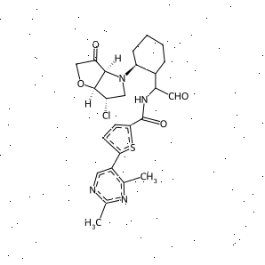 Cc1ncc(-c2ccc(C(=O)NC(C=O)C3CCCC[C@@H]3N3C[C@H](Cl)[C@H]4OCC(=O)[C@H]43)s2)c(C)n1